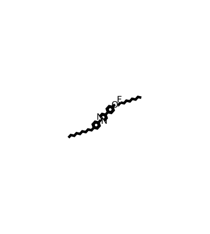 CCCCCCCCCc1ccc(-c2ncc(-c3ccc(OCC(F)CCCCCCC)cc3)cn2)cc1